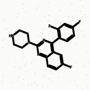 Fc1ccc(-c2nc(N3CCNCC3)nc3ccc(F)cc23)c(F)c1